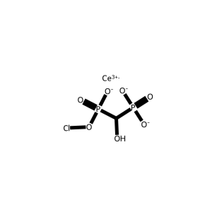 O=P([O-])([O-])C(O)P(=O)([O-])OCl.[Ce+3]